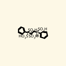 O=S(=O)(O)[PH](CC[PH](c1ccccc1)(S(=O)(=O)O)S(=O)(=O)O)(c1ccccc1)S(=O)(=O)O